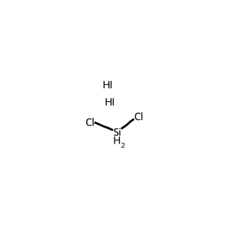 Cl[SiH2]Cl.I.I